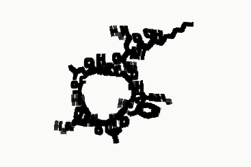 CCCCCCC[C@@H](O)CC(=O)N[C@H](CCN)C(=O)N[C@H]1CCNC(=O)[C@H](CC(C)C)CC(=O)[C@H](C)NC(=O)[C@H](CCN)NC(=O)[C@H](CC(C)C)NC(=O)[C@@H](Cc2ccccc2)NC(=O)[C@H](CCN)NC1=O